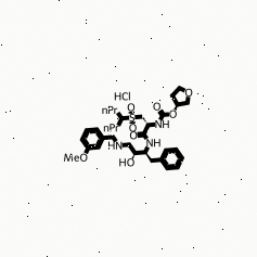 CCCC(CCC)S(=O)(=O)C[C@H](NC(=O)O[C@H]1CCOC1)C(=O)N[C@@H](Cc1ccccc1)[C@H](O)CNCc1cccc(OC)c1.Cl